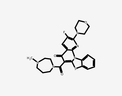 CN1CCCN(C(=O)c2c(=O)c3cc(F)c(N4CCOCC4)nc3n3c2sc2ccccc23)CC1